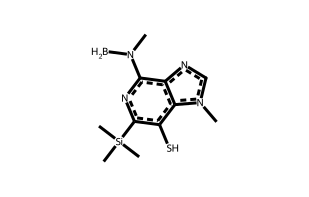 BN(C)c1nc([Si](C)(C)C)c(S)c2c1ncn2C